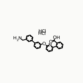 Cl.Cl.NCc1cccc(-c2cccc(Oc3cccc(-c4ccccc4C(=O)O)n3)c2)c1